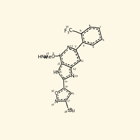 COc1nc(-c2ccccc2C(F)(F)F)cc2nc(-c3cc(C(C)(C)C)no3)[nH]c12.[NaH]